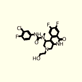 CN(C(=O)Nc1ccc(F)c(Cl)c1)C1CN(CCO)Cc2[nH]c(=O)c3cc(F)c(F)cc3c21